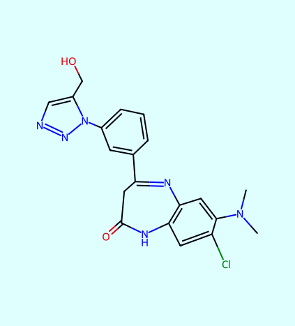 CN(C)c1cc2c(cc1Cl)NC(=O)CC(c1cccc(-n3nncc3CO)c1)=N2